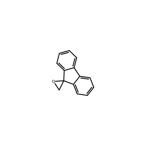 c1ccc2c(c1)-c1ccccc1C21CO1